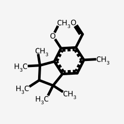 COc1c(C=O)c(C)cc2c1C(C)(C)C(C)C2(C)C